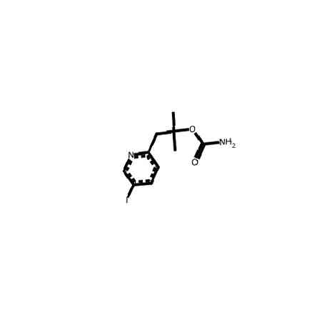 CC(C)(Cc1ccc(I)cn1)OC(N)=O